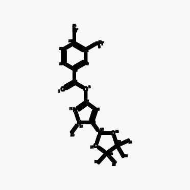 CCCc1cc(C(=O)Oc2cc(B3OC(C)(C)C(C)(C)O3)n(C)n2)ccc1Br